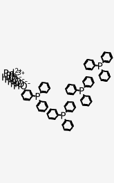 [OH-].[OH-].[OH-].[OH-].[OH-].[Pd+2].[Rh+3].c1ccc(P(c2ccccc2)c2ccccc2)cc1.c1ccc(P(c2ccccc2)c2ccccc2)cc1.c1ccc(P(c2ccccc2)c2ccccc2)cc1.c1ccc(P(c2ccccc2)c2ccccc2)cc1